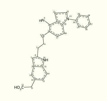 CCCc1c(OCCc2cc3cc(CC(=O)O)ccc3[nH]2)ccc2c1ccn2-c1ccccc1